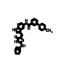 CN1CCN(c2cccc(C(=O)Nc3cnc4[nH]cc(C=C5N=C(NC6CC7CCC6C7)NC5=O)c4c3)c2)CC1